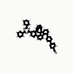 N#Cc1ccc(-c2ccc(-c3cccc4c3-c3cccc(-c5ccc(-c6nc(-c7ccccc7)nc(-c7ccccc7)n6)cc5)c3C43C4CC5CC(C4)CC3C5)cc2)cc1